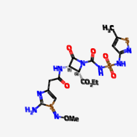 CCOC(=O)[C@@H]1[C@H](NC(=O)CC2=CS(=NOC)C(N)=N2)C(=O)N1C(=O)NS(=O)(=O)Nc1cc(C)sn1